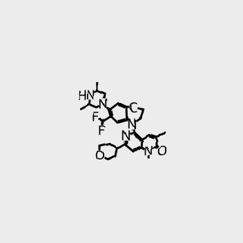 Cc1cc2c(N3CCCc4cc(N5CC(C)NC(C)C5)c(C(F)F)cc43)nc(C3CCOCC3)cc2n(C)c1=O